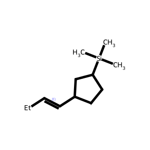 CC/C=C/C1[CH]CC([Si](C)(C)C)C1